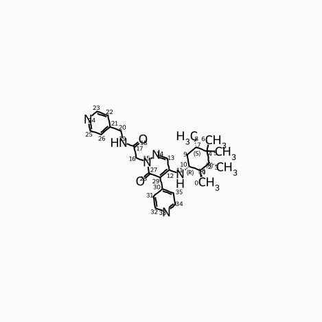 C[C@@H]1[C@@H](C)C(C)(C)[C@@H](C)C[C@H]1Nc1cnn(CC(=O)NCc2ccncc2)c(=O)c1-c1ccncc1